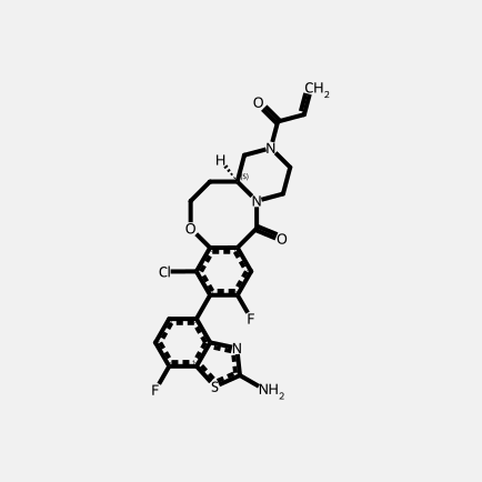 C=CC(=O)N1CCN2C(=O)c3cc(F)c(-c4ccc(F)c5sc(N)nc45)c(Cl)c3OCC[C@H]2C1